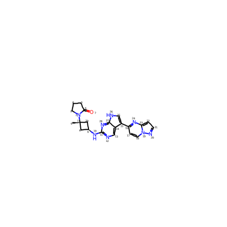 C[C@]1(N2CCCC2=O)C[C@H](Nc2ncc3c(-c4ccn5nccc5n4)c[nH]c3n2)C1